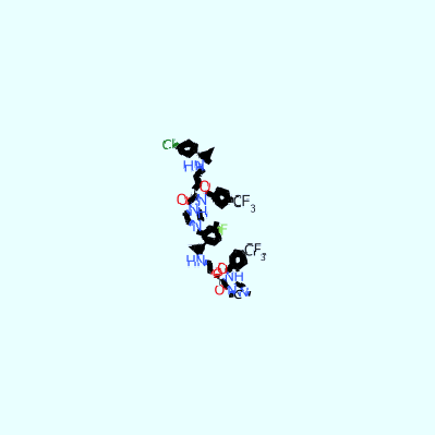 CN1CCN(C(=O)[C@H](COCCNC2C[C@H]2C2=CCC(C)(F)C=C2CN2CCN(C(=O)[C@H](CCCCNC3(C)C[C@H]3c3ccc(Cl)cc3)NC(=O)c3ccc(C(F)(F)F)cc3)CC2)NC(=O)c2ccc(C(F)(F)F)cc2)CC1